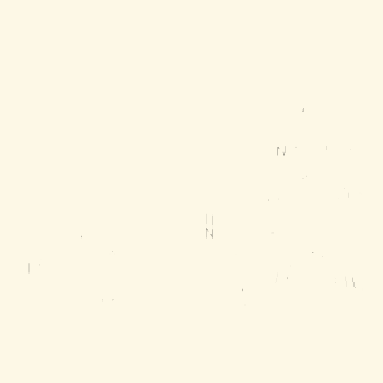 COC(=O)CCNC(=O)[C@@H]1O[P@](=O)(N2CCCCC2)OCC1(C)C